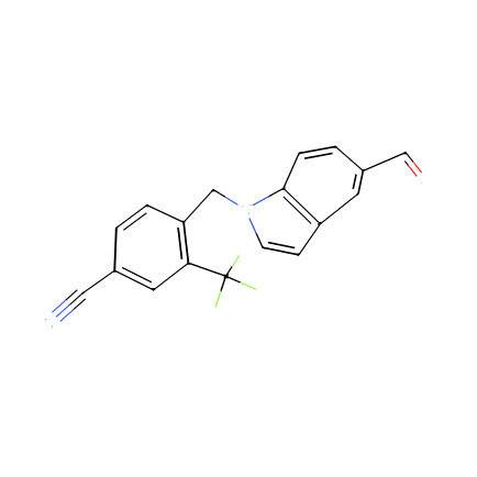 N#Cc1ccc(Cn2ccc3cc(C=O)ccc32)c(C(F)(F)F)c1